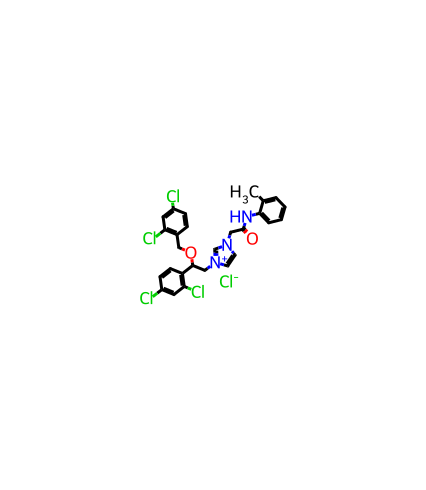 Cc1ccccc1NC(=O)Cn1cc[n+](CC(OCc2ccc(Cl)cc2Cl)c2ccc(Cl)cc2Cl)c1.[Cl-]